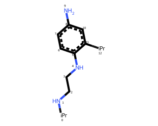 CC(C)NCCNc1ccc(N)cc1C(C)C